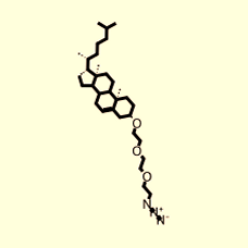 CC(C)CCC[C@@H](C)[C@H]1CCC2C3CC=C4C[C@@H](OCCOCCOCCN=[N+]=[N-])CC[C@]4(C)C3CC[C@@]21C